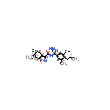 C=CCc1c(C)cc(C(=C)/N=C(\ON)c2noc3c2CCC(C)(C)C3)cc1C